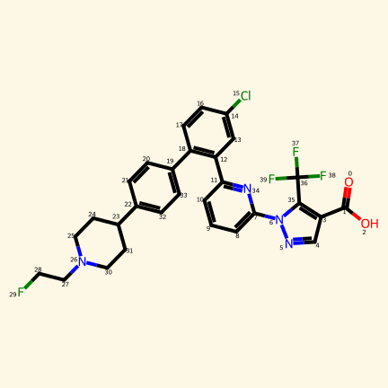 O=C(O)c1cnn(-c2cccc(-c3cc(Cl)ccc3-c3ccc(C4CCN(CCF)CC4)cc3)n2)c1C(F)(F)F